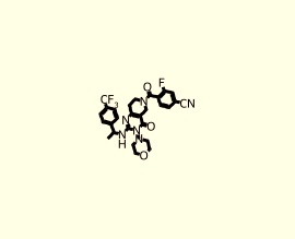 CC(Nc1nc2c(c(=O)n1N1CCOCC1)CN(C(=O)c1ccc(C#N)cc1F)CC2)c1ccc(C(F)(F)F)cc1